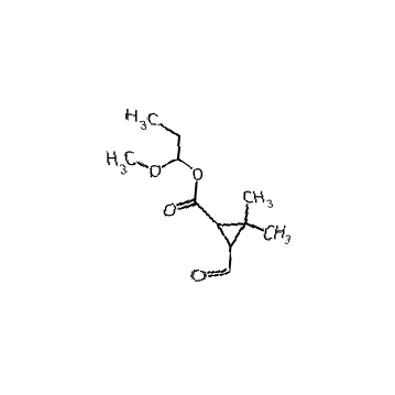 CCC(OC)OC(=O)C1C(C=O)C1(C)C